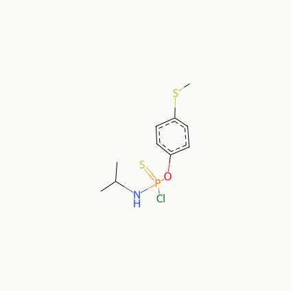 CSc1ccc(OP(=S)(Cl)NC(C)C)cc1